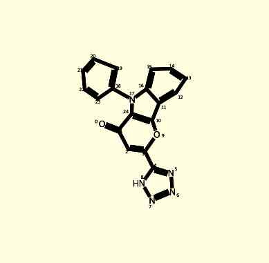 O=c1cc(-c2nnn[nH]2)oc2c3ccccc3n(-c3ccccc3)c12